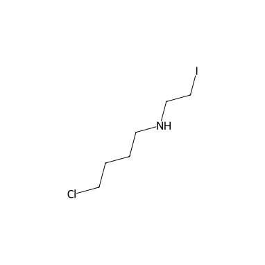 ClCCCCNCCI